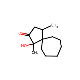 CC1CC(=O)C(C)(O)C12CCCCCC2